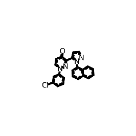 O=c1ccn(-c2cccc(Cl)c2)nc1-c1ccnn1-c1cccc2ccccc12